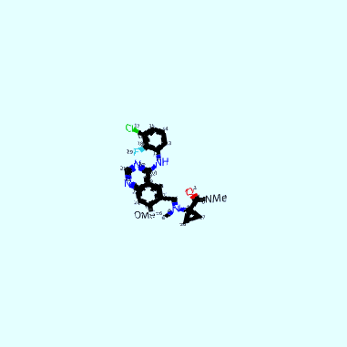 CNC(=O)C1(N(C)Cc2cc3c(Nc4cccc(Cl)c4F)ncnc3cc2OC)CC1